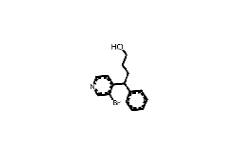 OCCCC(c1ccccc1)c1ccncc1Br